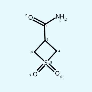 NC(=O)C1CS(=O)(=O)C1